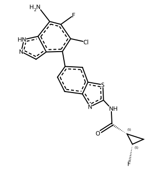 Nc1c(F)c(Cl)c(-c2ccc3nc(NC(=O)[C@@H]4C[C@@H]4F)sc3c2)c2cn[nH]c12